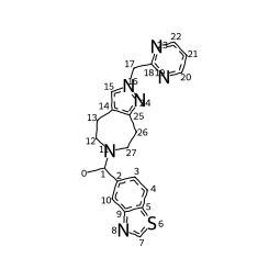 CC(c1ccc2scnc2c1)N1CCc2cn(Cc3ncccn3)nc2CC1